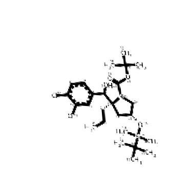 CCC[C@@]1(C(O)c2ccc(Cl)c(Cl)c2)C[C@@H](O[Si](C)(C)C(C)(C)C)CN1C(=O)OC(C)(C)C